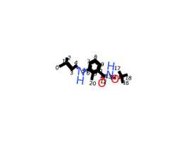 CC(C)=CCNc1cccc(C(=O)NOC(C)(C)C)c1C